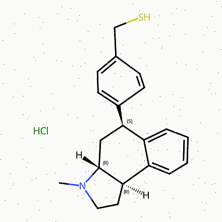 CN1CC[C@@H]2c3ccccc3[C@H](c3ccc(CS)cc3)C[C@H]21.Cl